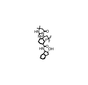 CC1(C)CC(=O)N(C(CC(F)(F)F)c2cccc(C(=O)N[C@@H]3c4ccccc4C[C@H]3O)c2)C(=N)N1